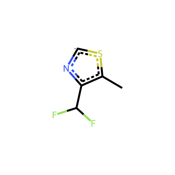 Cc1s[c]nc1C(F)F